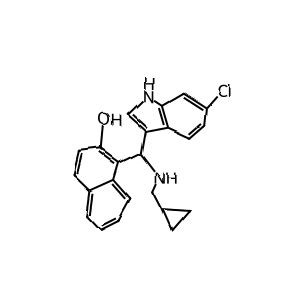 Oc1ccc2ccccc2c1C(NCC1CC1)c1c[nH]c2cc(Cl)ccc12